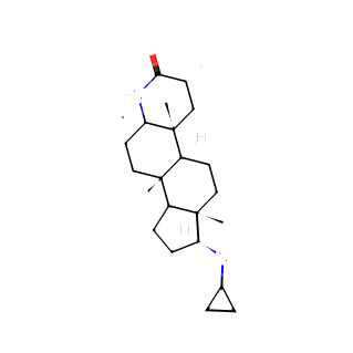 C[C@]12C[C@@H](Br)C(=O)N[C@@H]1CC[C@@H]1[C@@H]2CC[C@]2(C)[C@@H](NC3CC3)CC[C@@H]12